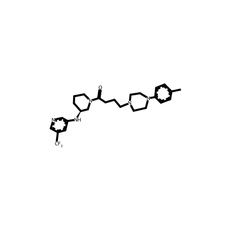 Cc1ccc(N2CCN(CCCC(=O)N3CCC[C@H](Nc4cncc(C(F)(F)F)c4)C3)CC2)cc1